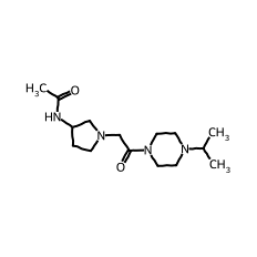 CC(=O)NC1CCN(CC(=O)N2CCN(C(C)C)CC2)C1